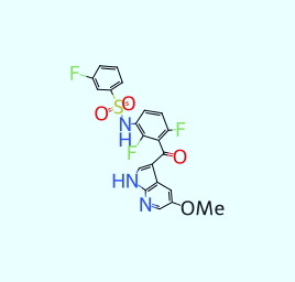 COc1cnc2[nH]cc(C(=O)c3c(F)ccc(NS(=O)(=O)c4cccc(F)c4)c3F)c2c1